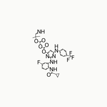 CC(C)(C=N)OC(=O)OC(=O)Oc1cc(Nc2ccc(C(F)(F)F)cc2)nc(Nc2cc(F)ccc2NC(=O)C2CC2)n1